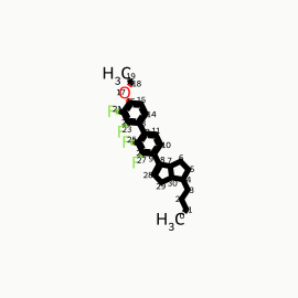 CCCCC1CCC2C(c3ccc(-c4ccc(OCC)c(F)c4F)c(F)c3F)=CCC12